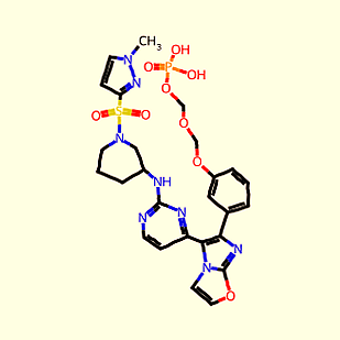 Cn1ccc(S(=O)(=O)N2CCCC(Nc3nccc(-c4c(-c5cccc(OCOCOP(=O)(O)O)c5)nc5occn45)n3)C2)n1